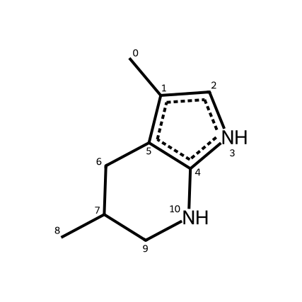 Cc1c[nH]c2c1CC(C)CN2